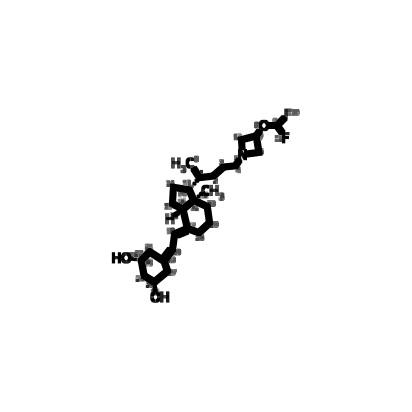 CC(CCCN1CC(OC(F)F)C1)[C@H]1CC[C@H]2C(=CC=C3C[C@@H](O)C[C@H](O)C3)CCC[C@]12C